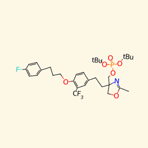 CC1=NC(CCc2ccc(OCCCc3ccc(F)cc3)c(C(F)(F)F)c2)(COP(=O)(OC(C)(C)C)OC(C)(C)C)CO1